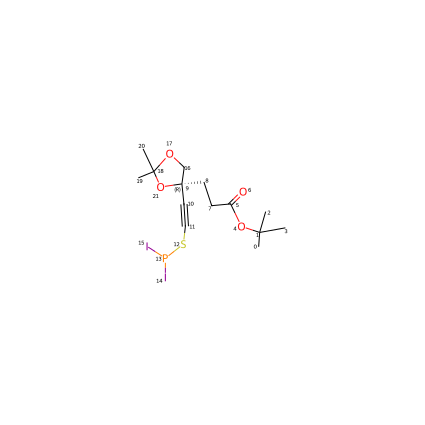 CC(C)(C)OC(=O)CC[C@@]1(C#CSP(I)I)COC(C)(C)O1